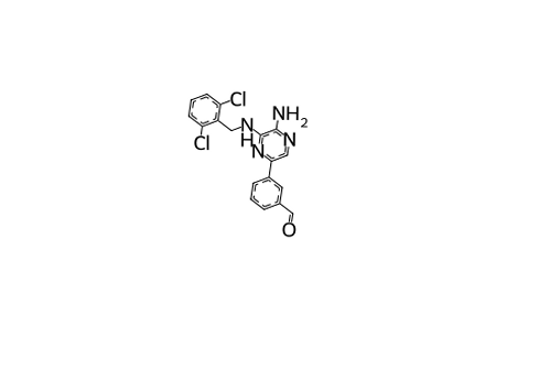 Nc1ncc(-c2cccc(C=O)c2)nc1NCc1c(Cl)cccc1Cl